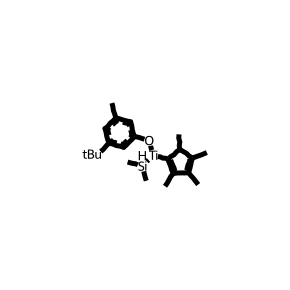 CC1=C(C)C(C)[C]([Ti]([O]c2cc(C)cc(C(C)(C)C)c2)[SiH](C)C)=C1C